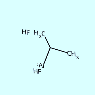 C[CH](C)[Al].F.F